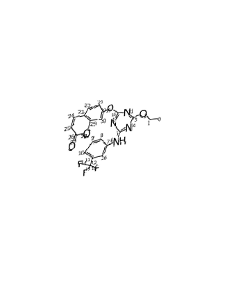 CCOc1nc(Nc2cccc(C(F)(F)F)c2)nc(Oc2ccc3ccc(=O)oc3c2)n1